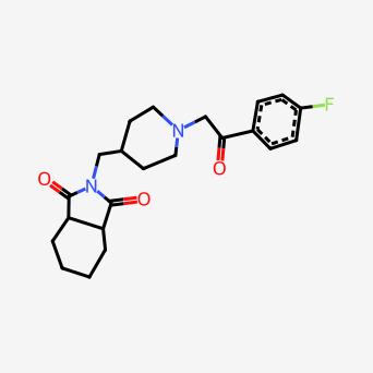 O=C(CN1CCC(CN2C(=O)C3CCCCC3C2=O)CC1)c1ccc(F)cc1